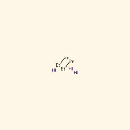 C[CH2][In].C[CH2][In].I.I.I